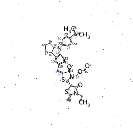 CCN1C(=O)C(C2S/C(=C/c3ccc4c(c3)C3CCCC3N4c3ccc(N(C)C)cc3)C(=O)N2COC=O)SC1=S